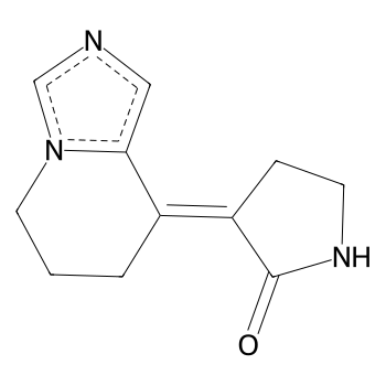 O=C1NCC/C1=C1/CCCn2cncc21